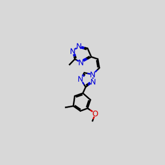 COc1cc(C)cc(-c2ncn(/C=C\c3cnnc(C)n3)n2)c1